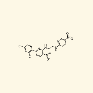 O=[N+]([O-])c1ccc(NCCNc2nc(-c3ccc(Cl)cc3Cl)ccc2[N+](=O)[O-])nc1